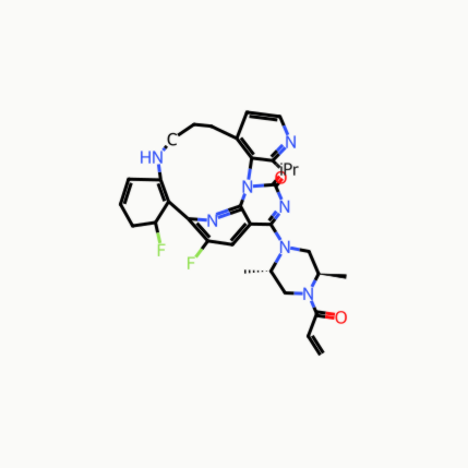 C=CC(=O)N1C[C@H](C)N(c2nc(=O)n3c4nc(c(F)cc24)C2=C(C=CCC2F)NCCCc2ccnc(C(C)C)c2-3)C[C@H]1C